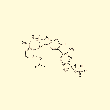 Cc1nc(C(C)(C)OP(=O)(O)O)ncc1-c1cc2c(cc1F)nc1n2C2C[C@H]1NC(=O)c1cccc(OC(F)F)c12